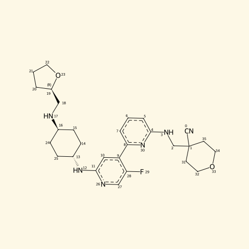 N#CC1(CNc2cccc(-c3cc(N[C@H]4CC[C@H](NC[C@H]5CCCO5)CC4)ncc3F)n2)CCOCC1